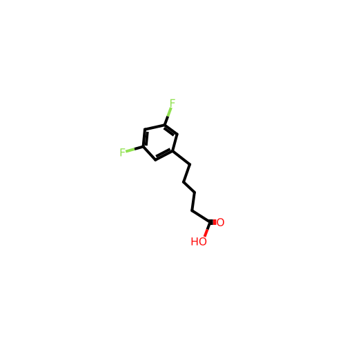 O=C(O)CCCCc1cc(F)cc(F)c1